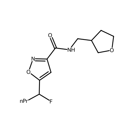 CCCC(F)c1cc(C(=O)NCC2CCOC2)no1